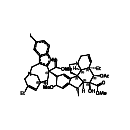 CCC1=C[C@H]2CN(C1)Cc1c([nH]c3ccc(I)cc13)[C@@](C(=O)OC)(C1C=C3C(=CC1OC)N(C)[C@H]1[C@@](O)(C(=O)OC)[C@H](OC(C)=O)[C@]4(CC)C=CCN5CC[C@]31[C@@H]54)C2